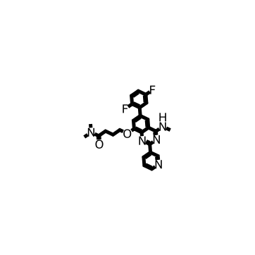 CNc1nc(-c2cccnc2)nc2c(OCCCC(=O)N(C)C)cc(-c3cc(F)ccc3F)cc12